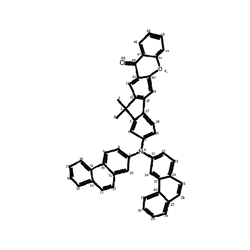 CC1(C)c2cc(N(c3ccc4c(ccc5ccccc54)c3)c3ccc4ccc5ccccc5c4c3)ccc2-c2cc3oc4ccccc4c(=O)c3cc21